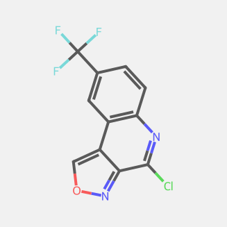 FC(F)(F)c1ccc2nc(Cl)c3nocc3c2c1